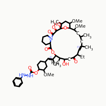 CCC1/C=C(\C)CC(C)CC(OC)C2OC(O)(C(=O)C(=O)N3CCCCC3C(=O)OC(/C(C)=C/C3CCC(OC(=O)NNc4ccccc4)C(OC)C3)C(C)C(O)CC1=O)C(C)CC2OC